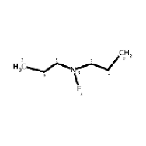 CCCN(F)CCC